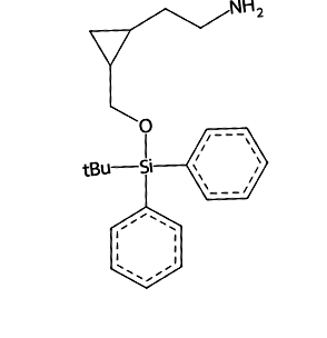 CC(C)(C)[Si](OCC1CC1CCN)(c1ccccc1)c1ccccc1